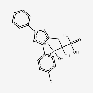 O=P(O)(O)C(O)(Cc1cn(-c2ccccc2)nc1-c1ccc(Cl)cc1)P(=O)(O)O